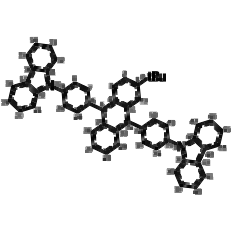 CC(C)(C)c1ccc2c(-c3ccc(-n4c5ccccc5c5ccccc54)cc3)c3ccccc3c(-c3ccc(-n4c5ccccc5c5ccccc54)cc3)c2c1